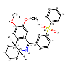 COc1cc2c(cc1OC)[C@H]1CCCC[C@H]1N=C2c1cccc(S(=O)(=O)c2ccccc2)c1